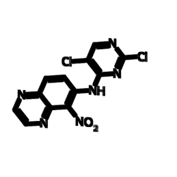 O=[N+]([O-])c1c(Nc2nc(Cl)ncc2Cl)ccc2nccnc12